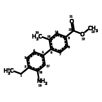 CCc1ccc(-c2ccc(C(=O)OC)cc2C)cc1N